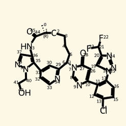 C[C@@H]1CCCC[C@H](n2cnc(-c3cc(Cl)ccc3-n3cc(C(F)F)nn3)cc2=O)c2cc(ccn2)-c2c(cnn2CCO)NC1=O